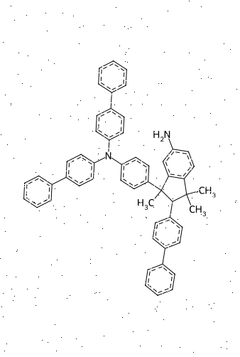 CC1(C)c2ccc(N)cc2C(C)(c2ccc(N(c3ccc(-c4ccccc4)cc3)c3ccc(-c4ccccc4)cc3)cc2)C1c1ccc(-c2ccccc2)cc1